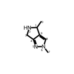 CC1NCc2nn(C)cc21